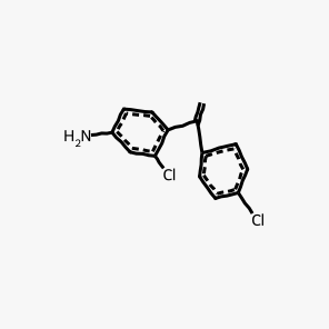 C=C(c1ccc(Cl)cc1)c1ccc(N)cc1Cl